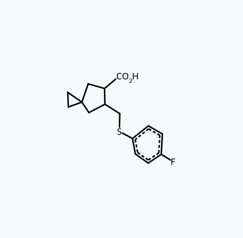 O=C(O)C1CC2(CC2)CC1CSc1ccc(F)cc1